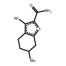 CC(C)(C)C1CCc2c(sc(C(N)=O)c2C#N)C1